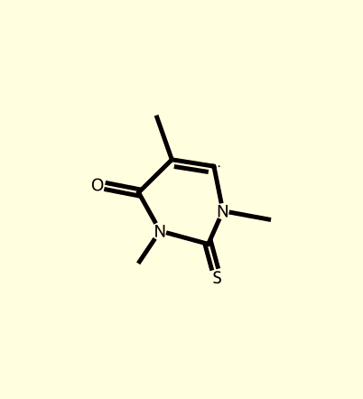 Cc1[c]n(C)c(=S)n(C)c1=O